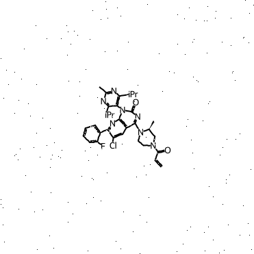 C=CC(=O)N1CCN(c2nc(=O)n(-c3c(C(C)C)nc(C)nc3C(C)C)c3nc(-c4ccccc4F)c(Cl)cc23)[C@@H](C)C1